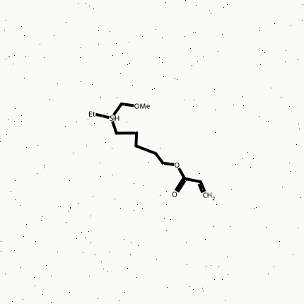 C=CC(=O)OCCCCC[SiH](CC)COC